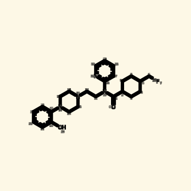 O=C(C1CCC(C[18F])CC1)N(CCN1CCN(c2ccccc2O)CC1)c1ccccn1